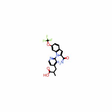 CC(Cc1ccnc(-n2c(C(N)=O)cc3ccc(OC(F)(F)F)cc32)c1)C(=O)O